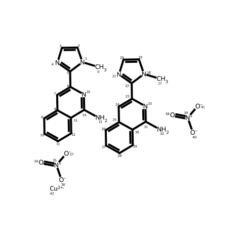 Cn1ccnc1-c1cc2ccccc2c(N)n1.Cn1ccnc1-c1cc2ccccc2c(N)n1.O=[N+]([O-])[O-].O=[N+]([O-])[O-].[Cu+2]